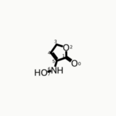 O=C1OCC=C1NO